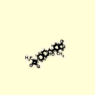 Cc1c([C@H](O)CN2CCC3(CC2)CCN(c2c(C)c(=O)c2=O)CC3)ccc2c1COC2=O